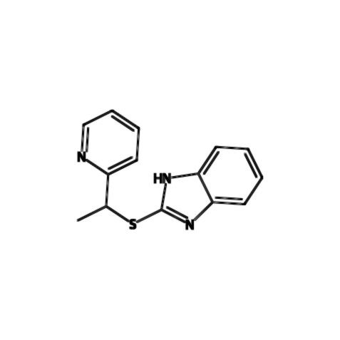 CC(Sc1nc2ccccc2[nH]1)c1ccccn1